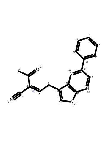 CC(=O)/C(C#N)=C\Cc1c[nH]c2ncc(-c3ccccc3)nc12